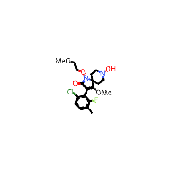 COCCON1C(=O)C(c2c(Cl)ccc(C)c2F)=C(OC)C12CCN(O)CC2